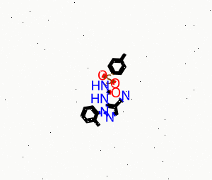 Cc1ccc(S(=O)(=O)NC(=O)Nc2c(C#N)cnn2-c2ccccc2C)cc1